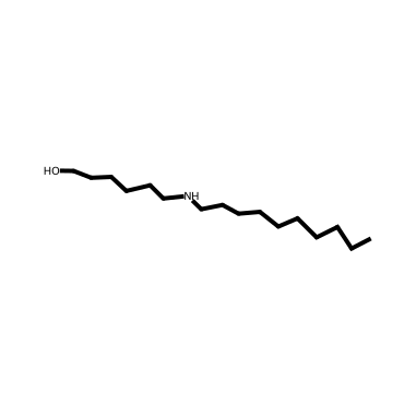 CCCCCCCCCCNCCCCCCO